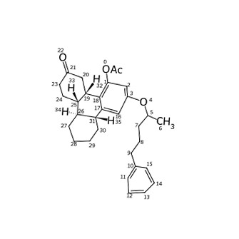 CC(=O)Oc1cc(OC(C)CCCc2ccccc2)cc2c1[C@H]1CC(=O)CC[C@H]1[C@@H]1CCCC[C@@H]21